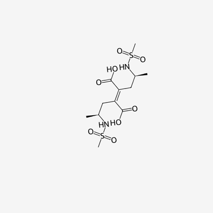 C[C@@H](C/C(C(=O)O)=C(/C[C@H](C)NS(C)(=O)=O)C(=O)O)NS(C)(=O)=O